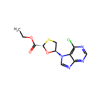 CCOC(=O)[C@H]1O[C@H](n2cnc3ncnc(Cl)c32)CS1